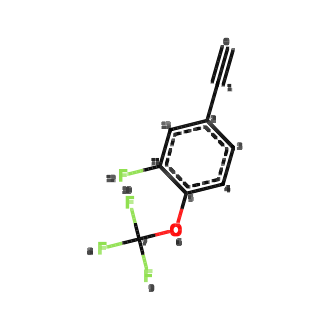 C#Cc1ccc(OC(F)(F)F)c(F)c1